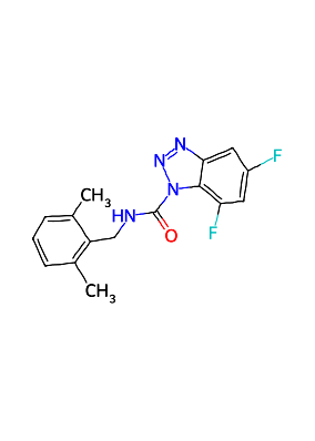 Cc1cccc(C)c1CNC(=O)n1nnc2cc(F)cc(F)c21